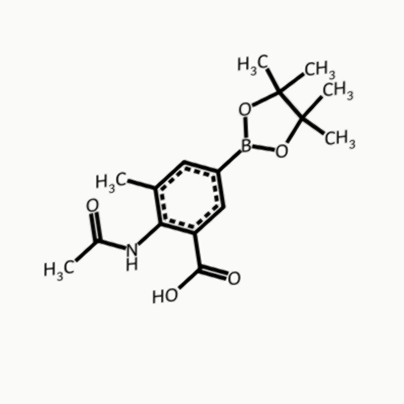 CC(=O)Nc1c(C)cc(B2OC(C)(C)C(C)(C)O2)cc1C(=O)O